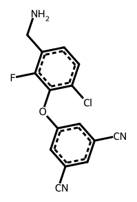 N#Cc1cc(C#N)cc(Oc2c(Cl)ccc(CN)c2F)c1